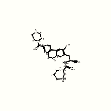 N#CC(Cc1cc2c(cc1F)-c1ccc(C(=O)N3CCOCC3)cc1CO2)NC(=O)C1CNCCCO1